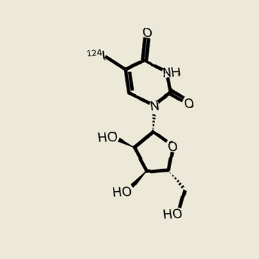 O=c1[nH]c(=O)n([C@@H]2O[C@H](CO)[C@@H](O)[C@H]2O)cc1[124I]